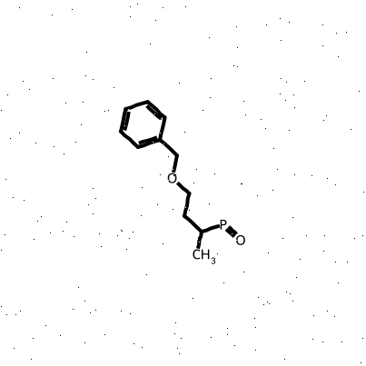 CC(CCOCc1ccccc1)P=O